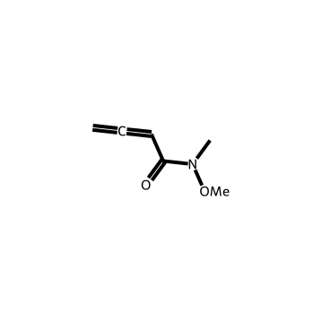 C=C=CC(=O)N(C)OC